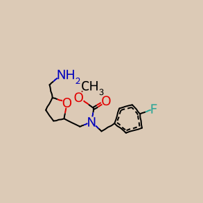 COC(=O)N(Cc1ccc(F)cc1)CC1CCC(CN)O1